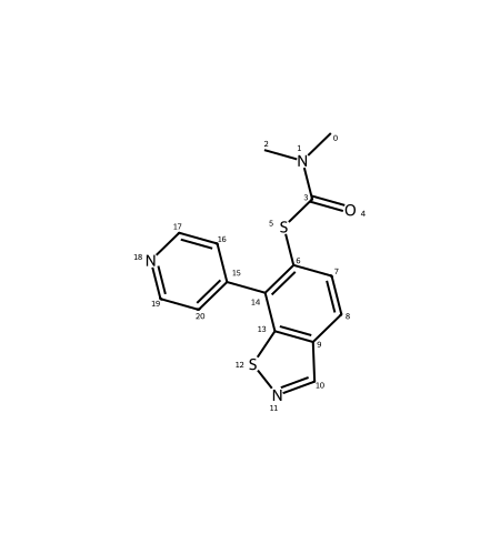 CN(C)C(=O)Sc1ccc2cnsc2c1-c1ccncc1